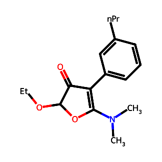 CCCc1cccc(C2=C(N(C)C)OC(OCC)C2=O)c1